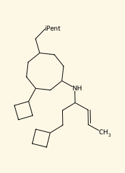 CC=CC(CCC1CCC1)NC1CCC(CC(C)CCC)CCC(C2CCC2)C1